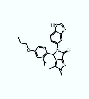 CCCOc1ccc(C2c3c(nn(C)c3C)C(=O)N2c2ccc3[nH]cnc3c2)c(F)c1